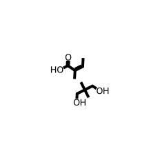 CC(C)(CO)CO.CC=C(C)C(=O)O